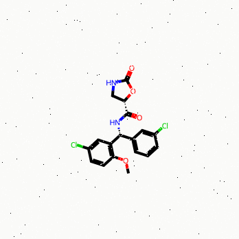 COc1ccc(Cl)cc1[C@H](NC(=O)[C@@H]1CNC(=O)O1)c1cccc(Cl)c1